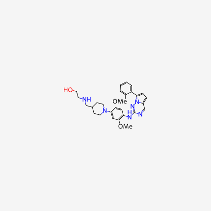 COc1cc(N2CCC(CNCCO)CC2)ccc1Nc1ncc2ccc(-c3ccccc3OC)n2n1